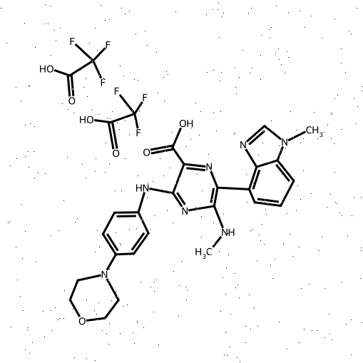 CNc1nc(Nc2ccc(N3CCOCC3)cc2)c(C(=O)O)nc1-c1cccc2c1ncn2C.O=C(O)C(F)(F)F.O=C(O)C(F)(F)F